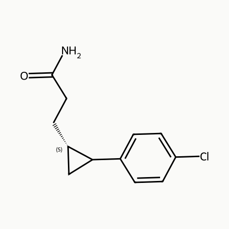 NC(=O)CC[C@H]1CC1c1ccc(Cl)cc1